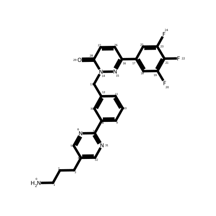 NCCCc1cnc(-c2cccc(Cn3nc(-c4cc(F)c(F)c(F)c4)ccc3=O)c2)nc1